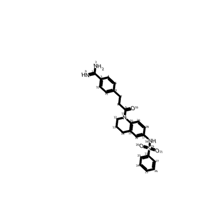 N=C(N)c1ccc(CCC(=O)N2CCCc3cc(NS(=O)(=O)c4ccccc4)ccc32)cc1